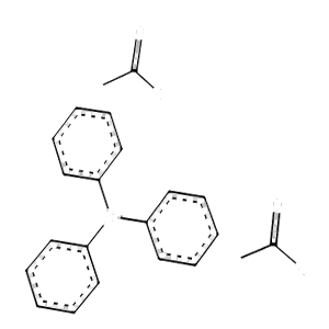 CC(=O)[O-].CC(=O)[O-].c1cc[c]([Sb+2]([c]2ccccc2)[c]2ccccc2)cc1